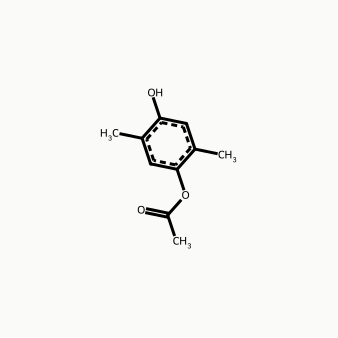 CC(=O)Oc1cc(C)c(O)cc1C